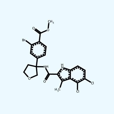 COC(=O)c1ccc(C2(NC(=O)c3[nH]c4ccc(Cl)c(Cl)c4c3C)CCOC2)cc1Br